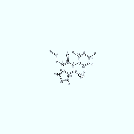 C=CCn1c(=O)c(-c2c(C)cc(C)cc2C)c(O)c2scnc21